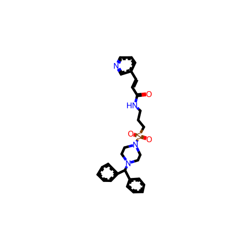 O=C(C=Cc1cccnc1)NCCCS(=O)(=O)N1CCN(C(c2ccccc2)c2ccccc2)CC1